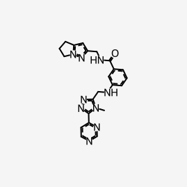 Cn1c(CNc2cccc(C(=O)NCc3cc4n(n3)CCC4)c2)nnc1-c1ccncn1